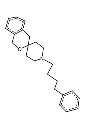 c1ccc(CCCCN2CCC3(CC2)Cc2ccccc2CO3)cc1